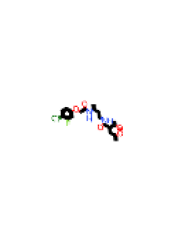 C=C(CCNC(=O)C1CC(C)OOC1C)NC(=O)COc1ccc(Cl)c(F)c1